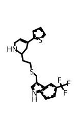 FC(F)(F)c1ccc2[nH]cc(CSCCC3CC(c4cccs4)=CCN3)c2c1